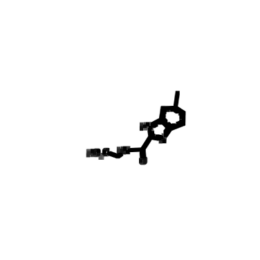 Cc1ccc2nc(C(=O)NCC(=O)O)[nH]c2c1